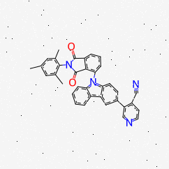 Cc1cc(C)c(N2C(=O)c3cccc(-n4c5ccccc5c5cc(-c6cnccc6C#N)ccc54)c3C2=O)c(C)c1